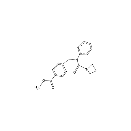 COC(=O)c1ccc(CN(C(=O)N2CCC2)c2ccccn2)cc1